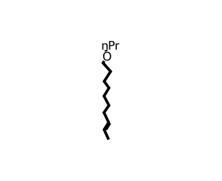 C/C=C/CCCCCCCOCCC